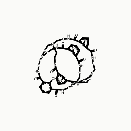 O=C1NCCN2CCNC(=O)c3cccc(c3O)C(=O)NCCN(CCNC(=O)c3cccc1c3O)CCN1CCNC(=O)c3cccc(c3O)C(=O)NCCN(CCNC(=O)c3cccc(c3O)C(=O)NCC1)CC2